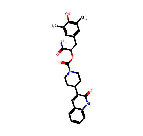 Cc1cc(C[C@@H](OC(=O)N2CCC(c3cc4ccccc4[nH]c3=O)CC2)C(N)=O)cc(C)c1O